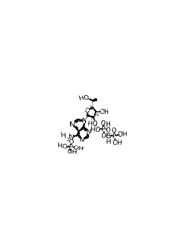 C=C(O)[C@H]1O[C@@H](n2cnc3c(N)ncnc32)[C@H](O)[C@@H]1O.O=P(O)(O)O.O=P(O)(O)O.O=P(O)(O)O